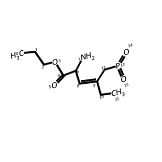 CCCOC(=O)C(N)C=C(CC)CP(=O)=O